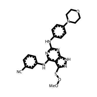 COOSc1n[nH]c2nc(Nc3ccc(N4CCOCC4)cc3)nc(Nc3cccc(C#N)c3)c12